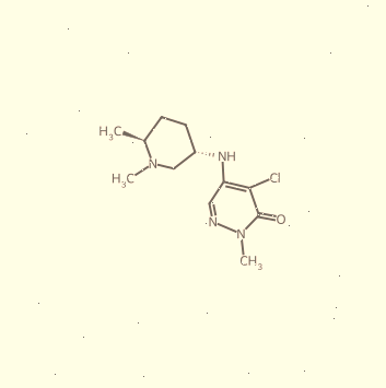 C[C@H]1CC[C@H](Nc2cnn(C)c(=O)c2Cl)CN1C